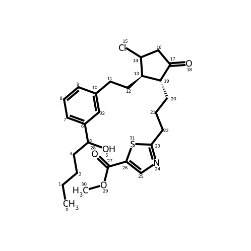 CCCCC(O)c1cccc(CC[C@H]2C(Cl)CC(=O)[C@@H]2CCCc2ncc(C(=O)OC)s2)c1